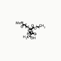 C=CCOC(=O)C1=C(SCCC(=O)NC)S[C@@H]2[C@@H](C(C)O)C(=O)N12